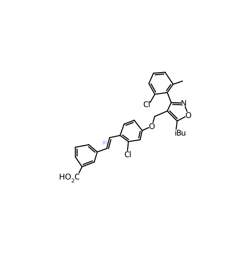 CCC(C)c1onc(-c2c(C)cccc2Cl)c1COc1ccc(/C=C/c2cccc(C(=O)O)c2)c(Cl)c1